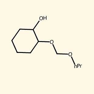 CCCOCOC1CCCCC1O